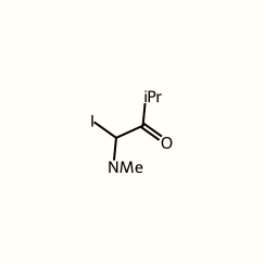 CNC(I)C(=O)C(C)C